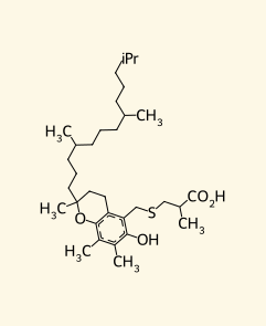 Cc1c(C)c2c(c(CSCC(C)C(=O)O)c1O)CCC(C)(CCCC(C)CCCC(C)CCCC(C)C)O2